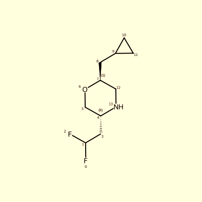 FC(F)C[C@@H]1CO[C@@H](CC2CC2)CN1